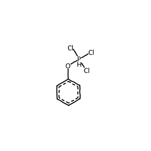 Cl[PH](Cl)(Cl)Oc1ccccc1